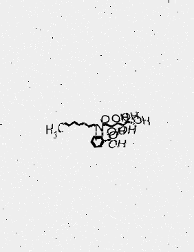 CCCCCCCCNC(=O)[C@H](O)[C@@H](O)[C@H](O)[C@H](O)CO.O=C(O)c1ccccc1